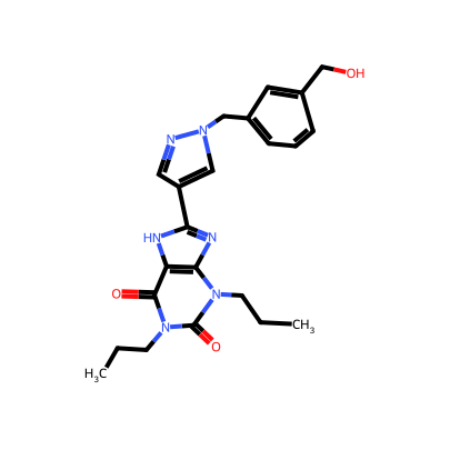 CCCn1c(=O)c2[nH]c(-c3cnn(Cc4cccc(CO)c4)c3)nc2n(CCC)c1=O